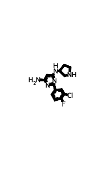 Nc1cc(NC2CCNC2)nc(-c2ccc(F)c(Cl)c2)n1